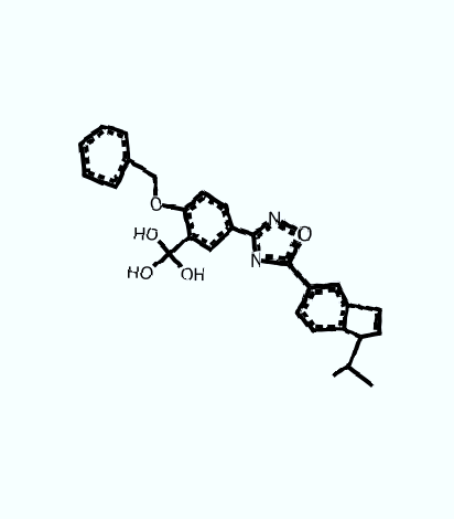 CC(C)C1C=Cc2cc(-c3nc(-c4ccc(OCc5ccccc5)c(C(O)(O)O)c4)no3)ccc21